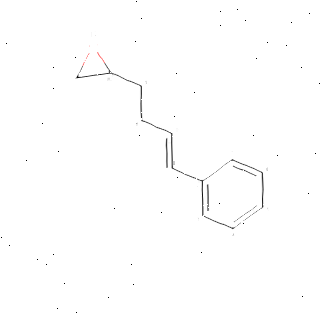 C(=C\c1ccccc1)/CCC1CO1